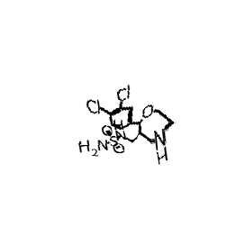 NS(=O)(=O)NC[C@@H]1CNCCOC1c1ccc(Cl)c(Cl)c1